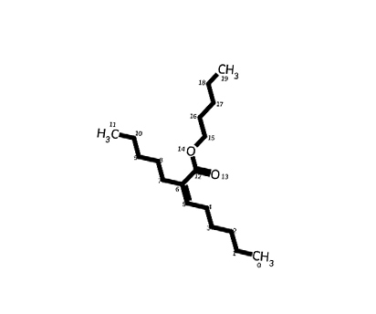 CCCCCC=C(CCCCC)C(=O)OCCCCC